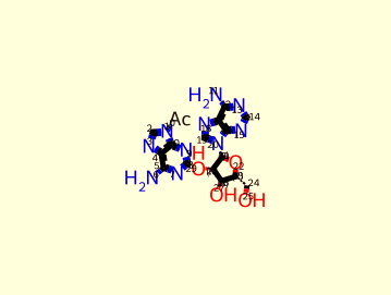 CC(=O)n1cnc2c(N)ncnc21.Nc1ncnc2c1ncn2[C@@H]1O[C@H](CO)[C@@H](O)[C@H]1O